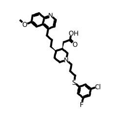 COc1ccc2nccc(CCC[C@@H]3CCN(CCCSc4cc(F)cc(Cl)c4)C[C@@H]3CC(=O)O)c2c1